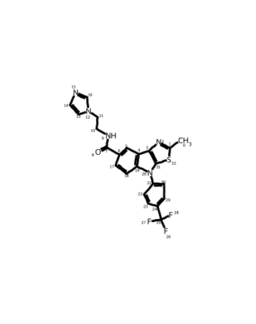 Cc1nc2c3cc(C(=O)NCCn4ccnc4)ccc3n(-c3ccc(C(F)(F)F)cc3)c2s1